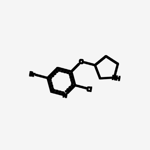 Clc1ncc(Br)cc1OC1CCNC1